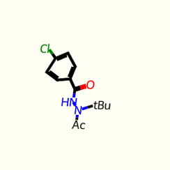 CC(=O)N(NC(=O)c1ccc(Cl)cc1)C(C)(C)C